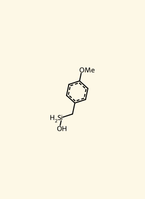 COc1ccc(C[SiH2]O)cc1